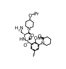 COc1c(N2CCCCC2=O)cc(F)cc1S(=O)(=O)N[C@@H](CN)C(=O)N1CCC(OC(C)C)CC1